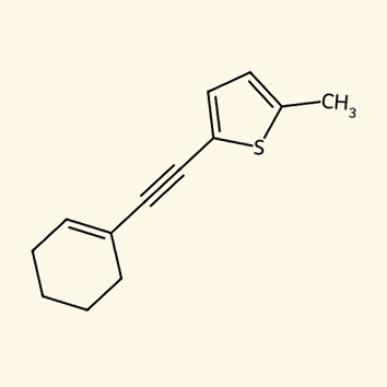 Cc1ccc(C#CC2=CCCCC2)s1